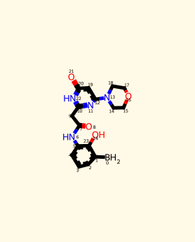 Bc1cccc(NC(=O)Cc2nc(N3CCOCC3)cc(=O)[nH]2)c1O